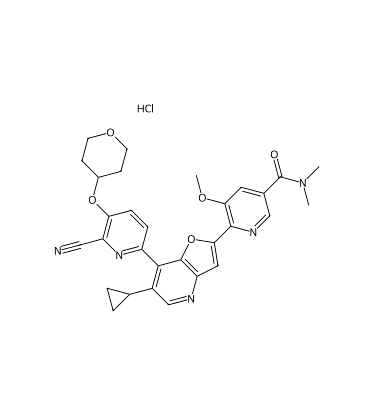 COc1cc(C(=O)N(C)C)cnc1-c1cc2ncc(C3CC3)c(-c3ccc(OC4CCOCC4)c(C#N)n3)c2o1.Cl